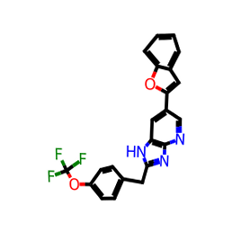 FC(F)(F)Oc1ccc(Cc2nc3ncc(-c4cc5ccccc5o4)cc3[nH]2)cc1